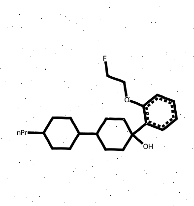 CCCC1CCC(C2CCC(O)(c3ccccc3OCCF)CC2)CC1